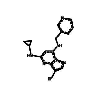 Brc1cnn2c(NCc3cccnc3)cc(NC3CC3)nc12